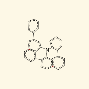 c1ccc(-c2cccc(N(c3ccccc3-c3ccccc3)c3ccccc3-c3ccccc3)c2)cc1